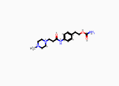 CN1CCN(CCC(=O)Nc2ccc(CCOC(N)=O)cc2)CC1